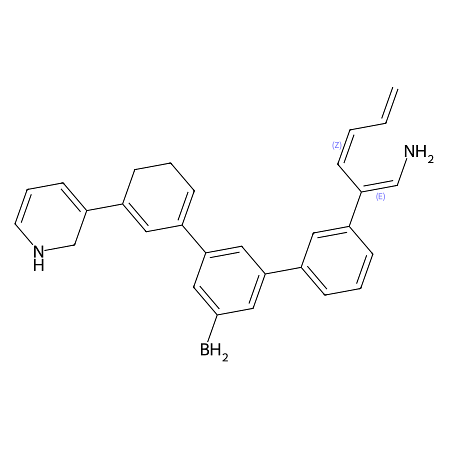 Bc1cc(C2=CCCC(C3=CC=CNC3)=C2)cc(-c2cccc(C(/C=C\C=C)=C/N)c2)c1